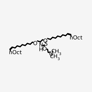 CCCCCCCC/C=C\CCCCCCCCOCC(COCCCCCCCC/C=C\CCCCCCCC)NC(=S)OCCN(C)C